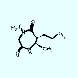 CCC[C@@H]1C(=O)N(C)CC(=O)N[C@@H]1C